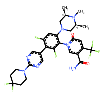 C[C@@H]1CN(c2cc(F)c(-c3cnc(N4CCC(F)(F)CC4)nc3)c(F)c2-n2cc(C(N)=O)c(C(F)(F)F)cc2=O)C[C@H](C)N1C